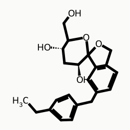 CCc1ccc(Cc2ccc3c(c2)C2(OC3)OC(CO)[C@@H](O)C[C@@H]2O)cc1